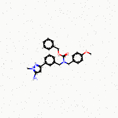 COc1ccc(CN(Cc2cccc(-c3cc(N)n(C)n3)c2)C(=O)OCc2ccccc2)cc1